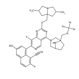 [2H]C([2H])([2H])OCC12CCC(CN(c3nc(OCC45CC(C)CN4CC(C)C5)nc4c(F)c(-c5cc(O)cc6ccc(F)c(C#C)c56)ncc34)C1)N2